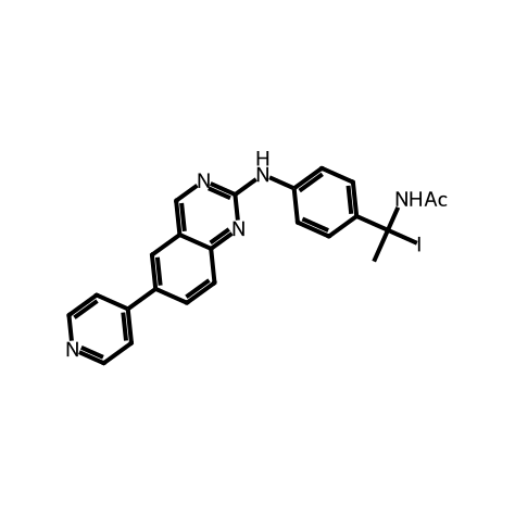 CC(=O)NC(C)(I)c1ccc(Nc2ncc3cc(-c4ccncc4)ccc3n2)cc1